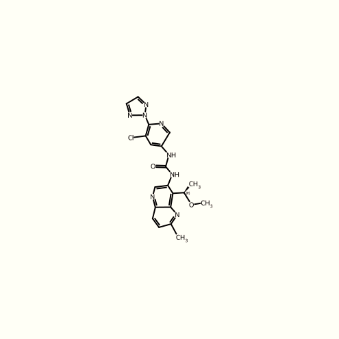 CO[C@H](C)c1c(NC(=O)Nc2cnc(-n3nccn3)c(Cl)c2)cnc2ccc(C)nc12